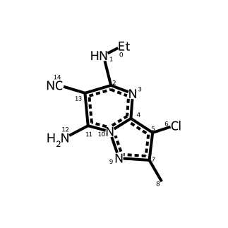 CCNc1nc2c(Cl)c(C)nn2c(N)c1C#N